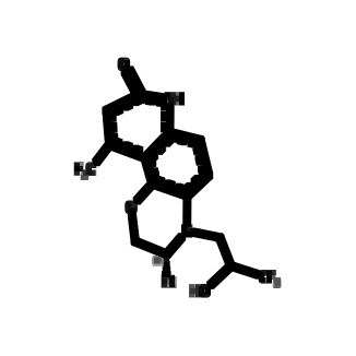 CC[C@@H]1COc2c(ccc3[nH]c(=O)cc(C(F)(F)F)c23)N1CC(O)C(F)(F)F